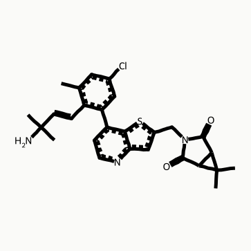 Cc1cc(Cl)cc(-c2ccnc3cc(CN4C(=O)C5C(C4=O)C5(C)C)sc23)c1/C=C/C(C)(C)N